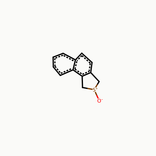 [O-][S+]1Cc2ccc3ccccc3c2C1